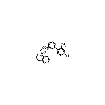 Cc1cc(Cl)ccc1-c1cccc(CO[C@@]2(CC(=O)O)CCCc3ccccc32)c1